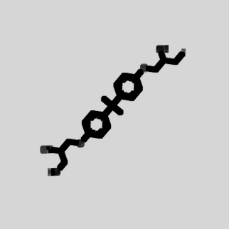 CC(C)(c1ccc(OCC(O)CI)cc1)c1ccc(OCC(CO)N=O)cc1